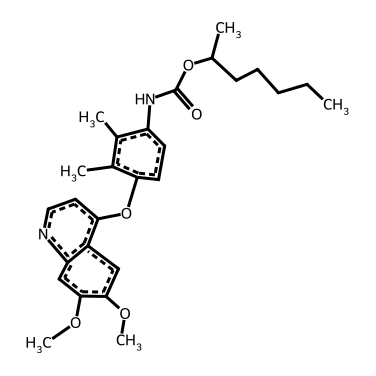 CCCCCC(C)OC(=O)Nc1ccc(Oc2ccnc3cc(OC)c(OC)cc23)c(C)c1C